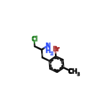 Cc1ccc(CC(N)CCl)c(Br)c1